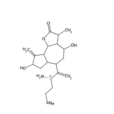 C=C1C(O)CC2C(C(=C)[C@@H](N)CCSC)CC(O)C3C(C)C(=O)OC3C12